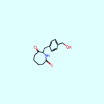 O=C1CCCCC(=O)C(Cc2ccc(CO)cc2)N1